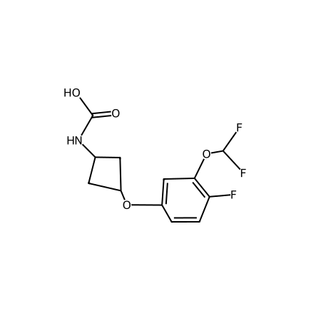 O=C(O)NC1CC(Oc2ccc(F)c(OC(F)F)c2)C1